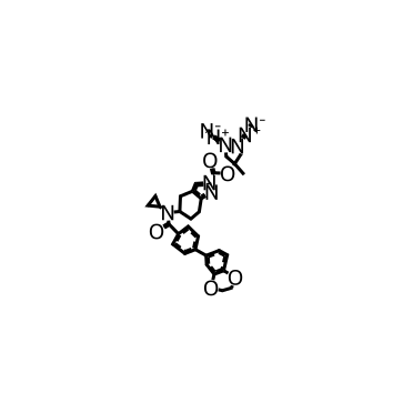 CC(CN=[N+]=[N-])(CN=[N+]=[N-])OC(=O)n1cc2c(n1)CCC(N(C(=O)c1ccc(-c3ccc4c(c3)OCCO4)cc1)C1CC1)C2